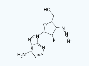 [N-]=[N+]=NC1C(CO)OC(n2cnc3c(N)ncnc32)C1F